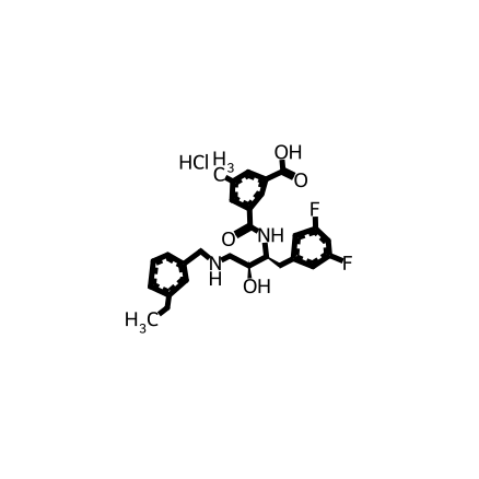 CCc1cccc(CNC[C@H](O)[C@H](Cc2cc(F)cc(F)c2)NC(=O)c2cc(C)cc(C(=O)O)c2)c1.Cl